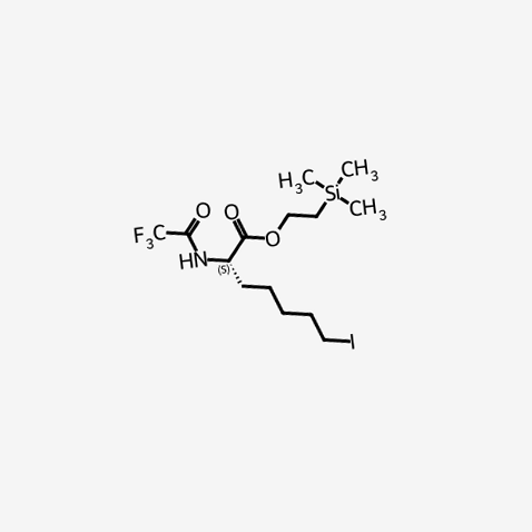 C[Si](C)(C)CCOC(=O)[C@H](CCCCCI)NC(=O)C(F)(F)F